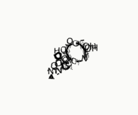 CC[C@H]1OC(=O)[C@H](C)[C@@H](O)[C@H](C)[C@@H](O[C@@H]2O[C@H](C)C[C@H](N(C)C(=O)N(C)C3CC3)[C@H]2Oc2ccccc2)[C@](C)(O)C[C@@H](C)CN(C)[C@H](C)[C@@H](O)[C@]1(C)O